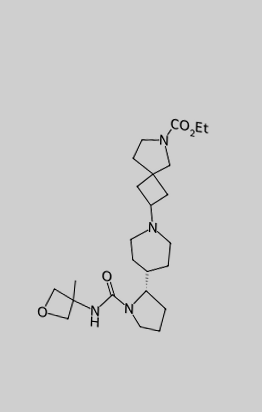 CCOC(=O)N1CCC2(CC(N3CCC([C@@H]4CCCN4C(=O)NC4(C)COC4)CC3)C2)C1